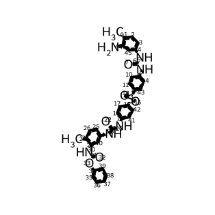 Cc1ccc(NC(=O)Nc2ccc(S(=O)(=O)c3ccc(NC(=O)Nc4ccc(C)c(NC(=O)Oc5ccccc5)c4)cc3)cc2)cc1N